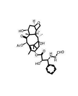 CC(=O)O[C@H]1C(=O)[C@@]2(C)[C@H]([C@H](C)[C@]3(O)C[C@H](OC(=O)[C@H](O)[C@@H](NBC=O)c4ccccc4)C(C)=C1C3(C)C)[C@]1(C)CO[C@@H]1C[C@@H]2O